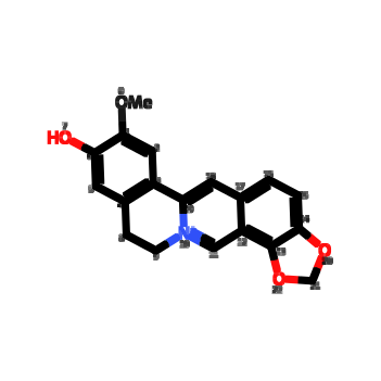 COc1cc2c(cc1O)CC[n+]1cc3c4c(ccc3cc1-2)OCO4